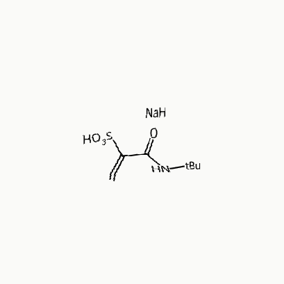 C=C(C(=O)NC(C)(C)C)S(=O)(=O)O.[NaH]